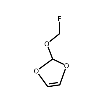 FCOC1OC=CO1